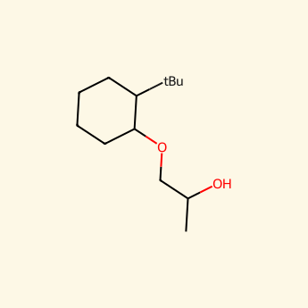 CC(O)COC1CCCCC1C(C)(C)C